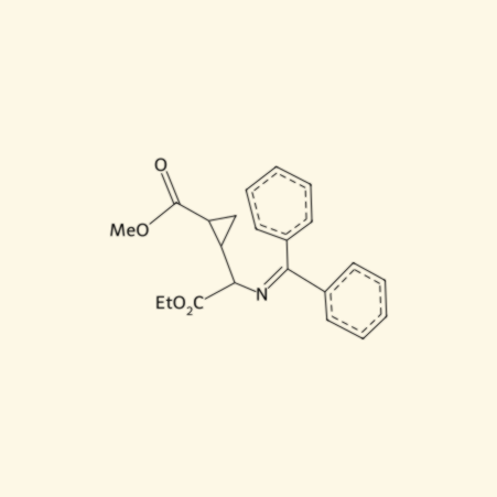 CCOC(=O)C(N=C(c1ccccc1)c1ccccc1)C1CC1C(=O)OC